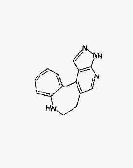 c1ccc2c(c1)NCCc1cnc3[nH]ncc3c1-2